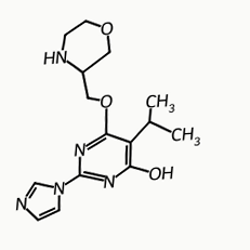 CC(C)c1c(O)nc(-n2ccnc2)nc1OCC1COCCN1